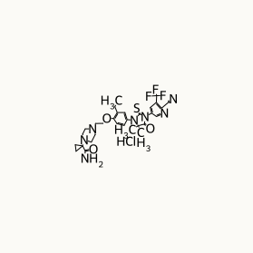 CCc1cc(N2C(=S)N(c3cnc(C#N)c(C(F)(F)F)c3)C(=O)C2(C)C)ccc1OCCN1CCN(C2(C(N)=O)CC2)CC1.Cl